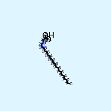 CCCCCCCCCCCCCCCCCCC/C=C\C=C\C(=O)O